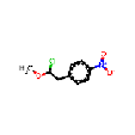 COC(Cl)Cc1ccc([N+](=O)[O-])cc1